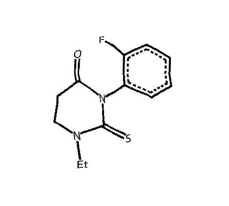 CCN1CCC(=O)N(c2ccccc2F)C1=S